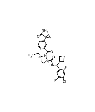 CC[C@@H]1CC[C@H](C(=O)NC(c2cc(F)c(Cl)cc2F)C2COC2)N1C(=O)c1cccc(C2(C(N)=O)CC2)c1